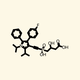 CC(C)c1c(C#CP(=O)(O)CC(O)CC(=O)O)c(-c2ccc(F)cc2)c(-c2ccccc2)n1C(C)C